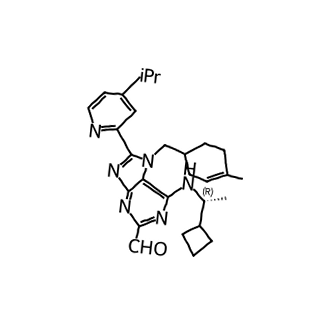 CC1=CCC(Cn2c(-c3cc(C(C)C)ccn3)nc3nc(C=O)nc(N[C@H](C)C4CCC4)c32)CC1